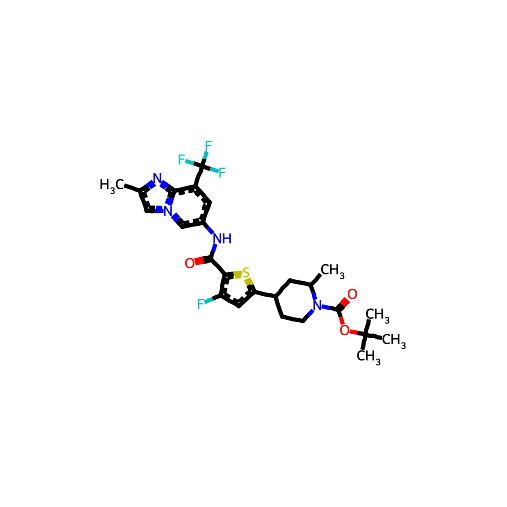 Cc1cn2cc(NC(=O)c3sc(C4CCN(C(=O)OC(C)(C)C)C(C)C4)cc3F)cc(C(F)(F)F)c2n1